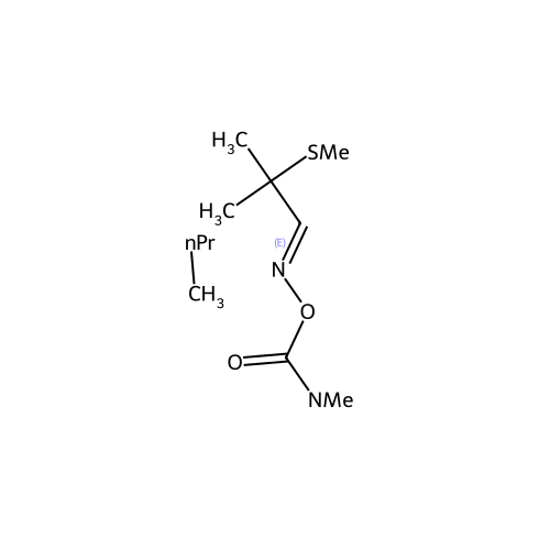 CCCC.CNC(=O)O/N=C/C(C)(C)SC